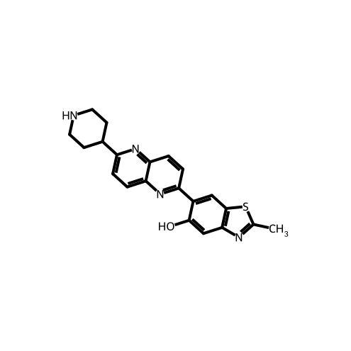 Cc1nc2cc(O)c(-c3ccc4nc(C5CCNCC5)ccc4n3)cc2s1